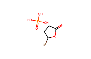 O=C1CCC(Br)O1.O=P(O)(O)O